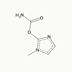 Cn1ccnc1OC(N)=O